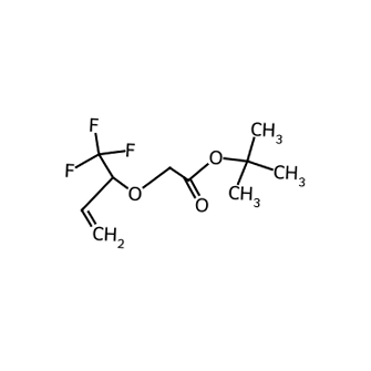 C=CC(OCC(=O)OC(C)(C)C)C(F)(F)F